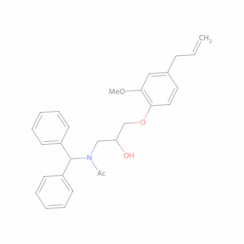 C=CCc1ccc(OCC(O)CN(C(C)=O)C(c2ccccc2)c2ccccc2)c(OC)c1